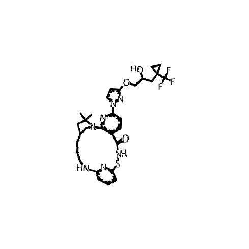 CC1(C)CC2CCCNc3cccc(n3)SNC(=O)c3ccc(-n4ccc(OCC(O)CC5(C(F)(F)F)CC5)n4)nc3N1C2